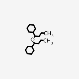 CCCC(OC(CCC)C1CCCCC1)C1CCCCC1